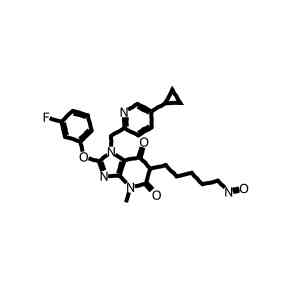 CN1C(=O)C(CCCCCN=O)C(=O)c2c1nc(Oc1cccc(F)c1)n2Cc1ccc(C2CC2)cn1